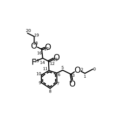 CCOC(=O)Cc1ccccc1C(=O)C(F)C(=O)OCC